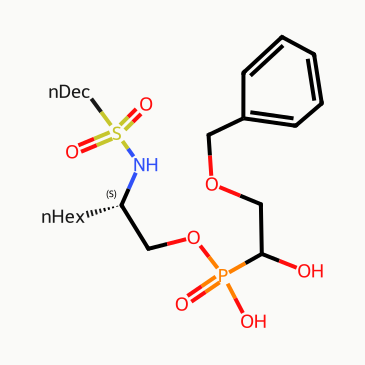 CCCCCCCCCCS(=O)(=O)N[C@@H](CCCCCC)COP(=O)(O)C(O)COCc1ccccc1